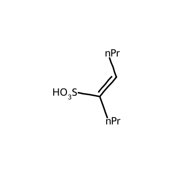 CCCC=C(CCC)S(=O)(=O)O